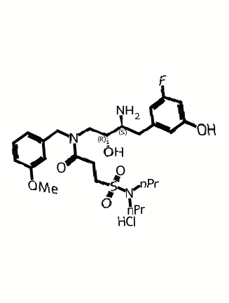 CCCN(CCC)S(=O)(=O)CCC(=O)N(Cc1cccc(OC)c1)C[C@@H](O)[C@@H](N)Cc1cc(O)cc(F)c1.Cl